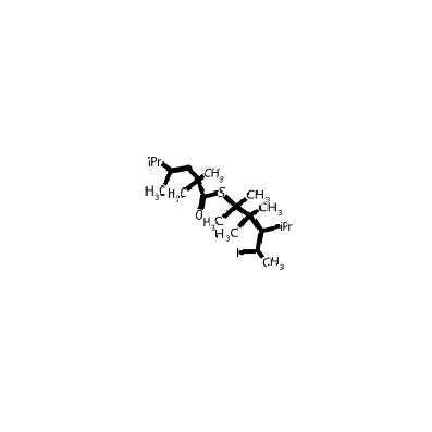 CC(C)C(C)CC(C)(C)C(=O)SC(C)(C)C(C)(C)C(C(C)C)C(C)I